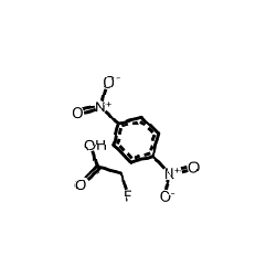 O=C(O)CF.O=[N+]([O-])c1ccc([N+](=O)[O-])cc1